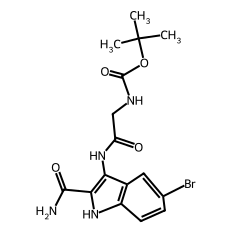 CC(C)(C)OC(=O)NCC(=O)Nc1c(C(N)=O)[nH]c2ccc(Br)cc12